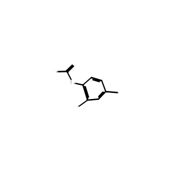 NC(=S)Nc1ccc(C(F)(F)F)cc1I